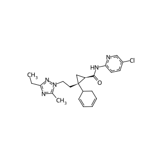 CCc1nc(C)n(CC[C@@]2(C3C=CC=CC3)C[C@H]2C(=O)Nc2ccc(Cl)cn2)n1